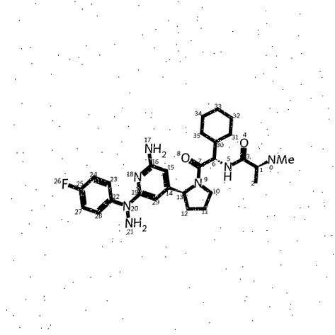 CN[C@@H](C)C(=O)N[C@H](C(=O)N1CCC[C@H]1c1cc(N)nc(N(N)c2ccc(F)cc2)c1)C1CCCCC1